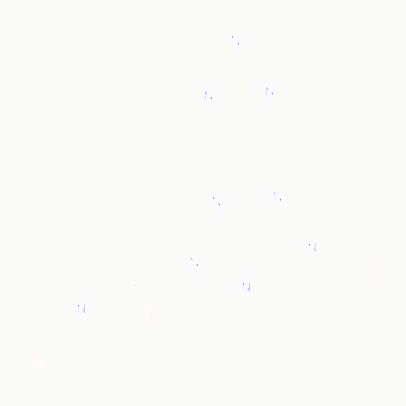 Nc1ncc(-c2nc(N3CCOCC3)c3ncn(CC(=O)CN4CCOCC4)c3n2)cn1